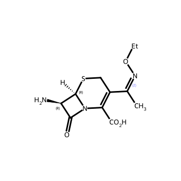 CCO/N=C(/C)C1=C(C(=O)O)N2C(=O)[C@@H](N)[C@H]2SC1